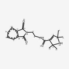 CC1(C)C=C(C(=O)NCCN2C(=O)c3ccccc3C2=O)C(C)(C)N1